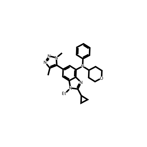 CCn1c(C2CC2)nc2c(N(c3ccccc3)C3CCOCC3)cc(-c3c(C)nnn3C)cc21